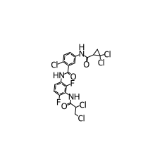 O=C(Nc1ccc(F)c(NC(=O)C(Cl)CCl)c1F)c1cc(NC(=O)C2CC2(Cl)Cl)ccc1Cl